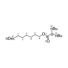 CCCCCCCCCCCCCCCCOC(=O)[C](CCCC)CCCC